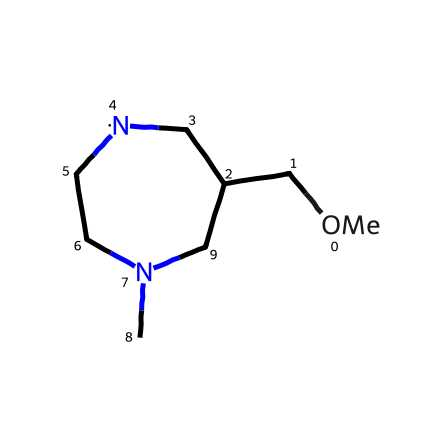 COCC1C[N]CCN(C)C1